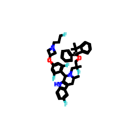 CC1Cc2c([nH]c3ccc(F)cc23)C(c2c(F)cc(OC3CN(CCCF)C3)cc2F)N1CC(C)(F)CO[Si]1(c2ccccc2)c2ccccc2C1(C)C